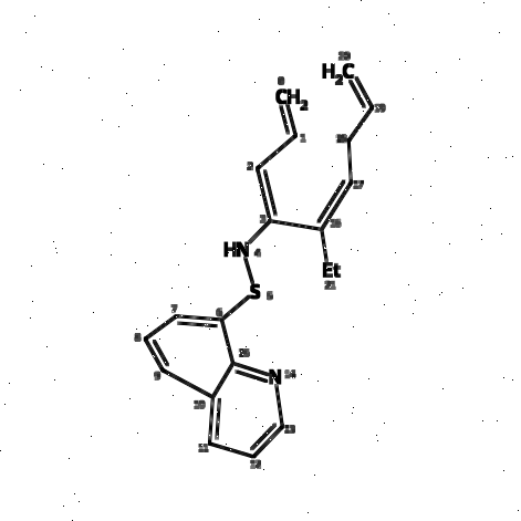 C=C/C=C(NSc1cccc2cccnc12)\C(=C/CC=C)CC